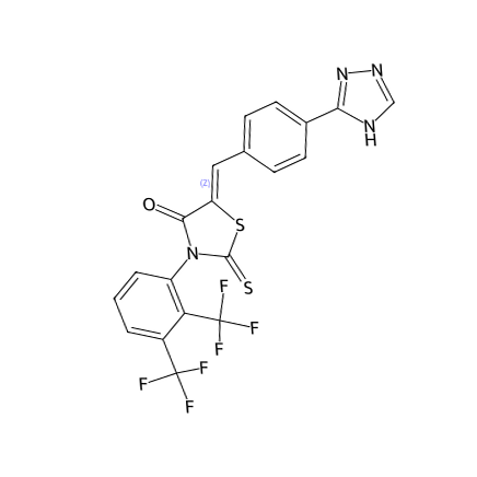 O=C1/C(=C/c2ccc(-c3nnc[nH]3)cc2)SC(=S)N1c1cccc(C(F)(F)F)c1C(F)(F)F